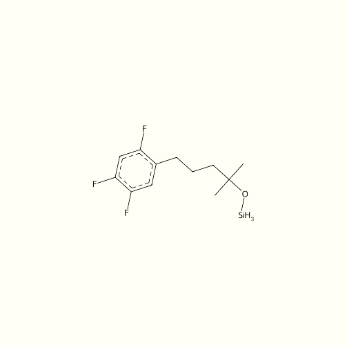 CC(C)(CCCc1cc(F)c(F)cc1F)O[SiH3]